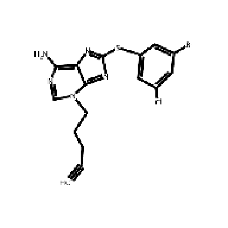 C#CCCCn1cnc(N)c2nc(Sc3cc(Cl)cc(Br)c3)nc1-2